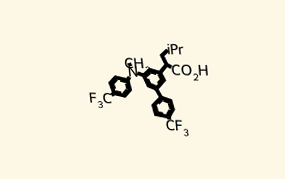 CC(C)CC(C(=O)O)c1cc(-c2ccc(C(F)(F)F)cc2)cc(N(C)c2ccc(C(F)(F)F)cc2)c1